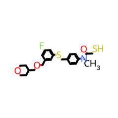 CN(C(=O)CS)c1ccc(CSc2cc(F)cc(COCC3CCOCC3)c2)cc1